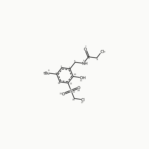 CC(C)(C)c1cc(CNC(=O)CCl)c(O)c(S(=O)(=O)CCl)c1